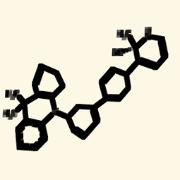 CC1(C)C2=C(CCC=C2)N(C2C=CC=C(C3=CCC(C4=CC=CN[C@@]4(C)C#N)C=C3)C2)c2ccccc21